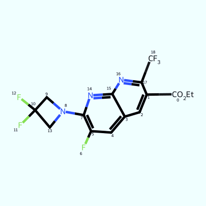 CCOC(=O)c1cc2cc(F)c(N3CC(F)(F)C3)nc2nc1C(F)(F)F